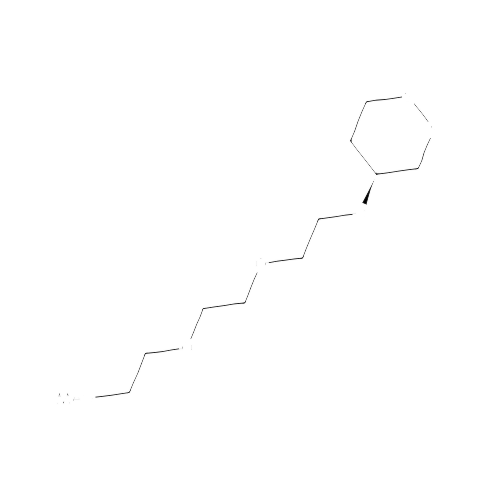 COCCOCCOCCO[C@H]1CCSSC1